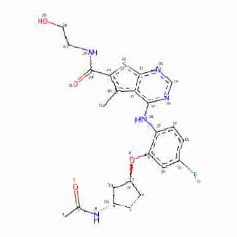 CC(=O)N[C@H]1CC[C@H](Oc2cc(F)ccc2Nc2ncnc3sc(C(=O)NCCO)c(C)c23)C1